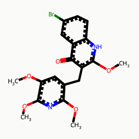 COc1cc(Cc2c(OC)[nH]c3ccc(Br)cc3c2=O)c(OC)nc1OC